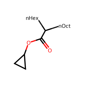 CCCCCCCCC(CCCCCC)C(=O)OC1CC1